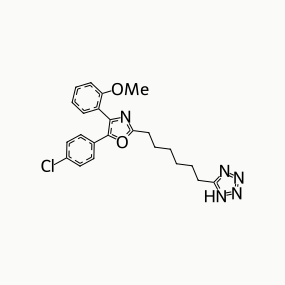 COc1ccccc1-c1nc(CCCCCCc2nnn[nH]2)oc1-c1ccc(Cl)cc1